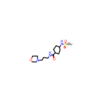 CC(C)(C)S(=O)(=O)NC1CCC(C(=O)NCCCN2CCOCC2)CC1